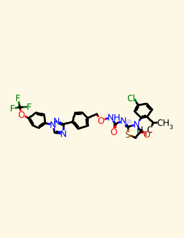 CC(C)c1ccc(Cl)cc1N1C(=O)CS/C1=N\C(=O)NOCc1ccc(-c2ncn(-c3ccc(OC(F)(F)F)cc3)n2)cc1